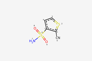 N#Cc1sccc1S(N)(=O)=O